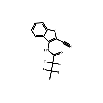 N#Cc1oc2ccccc2c1NC(=O)C(F)(F)C(F)(F)F